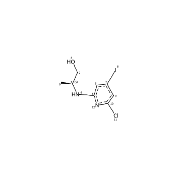 C[C@@H](CO)Nc1cc(I)cc(Cl)n1